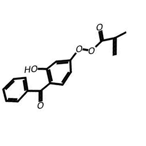 C=C(C)C(=O)OOc1ccc(C(=O)c2ccccc2)c(O)c1